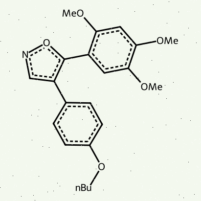 CCCCOc1ccc(-c2cnoc2-c2cc(OC)c(OC)cc2OC)cc1